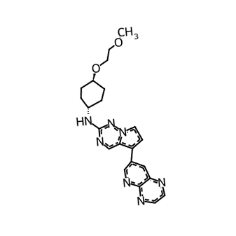 COCCO[C@H]1CC[C@H](Nc2ncc3c(-c4cnc5nccnc5c4)ccn3n2)CC1